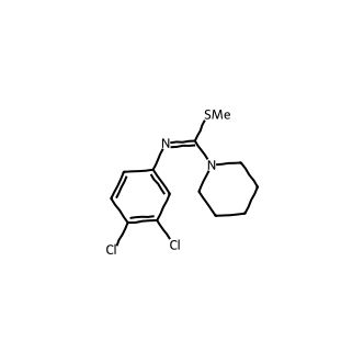 CSC(=Nc1ccc(Cl)c(Cl)c1)N1CCCCC1